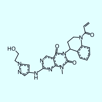 C=CC(=O)N1CCC(n2c(=O)c3cnc(Nc4cnn(CCO)c4)nc3n(C)c2=O)c2ccccc21